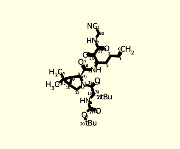 C=CCCC(NC(=O)[C@@H]1C2C(CN1C(=O)[C@@H](NC(=O)OC(C)(C)C)C(C)(C)C)C2(C)C)C(=O)C(=O)NCC#N